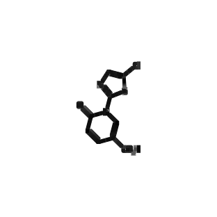 O=C(O)c1ccc(=O)n(-c2ncc(Cl)s2)c1